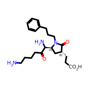 NCCCCC(=O)C(N)[C@@H]1C[C@@H](CCC(=O)O)C(=O)N1CCCc1ccccc1